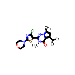 CCC(CC)c1cc(C)n2nc(-c3sc(N4CCOCC4)nc3Cl)n(C)c(=O)c12